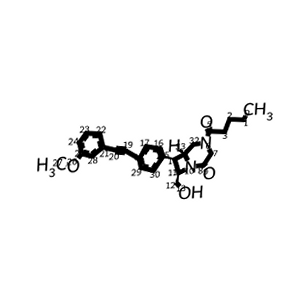 CCCCC(=O)N1CC(=O)N2[C@@H](CO)[C@@H](c3ccc(C#Cc4cccc(OC)c4)cc3)[C@@H]2C1